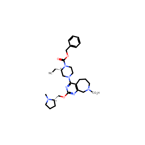 CN1CCC[C@H]1COc1nc2c(c(N3CCN(C(=O)OCc4ccccc4)[C@@H](CC#N)C3)n1)CCCN(C(=O)O)C2